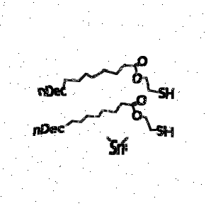 CCCCCCCCCCCCCCCCCC(=O)OCCS.CCCCCCCCCCCCCCCCCC(=O)OCCS.[CH3][Sn][CH3]